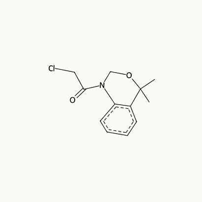 CC1(C)OCN(C(=O)CCl)c2ccccc21